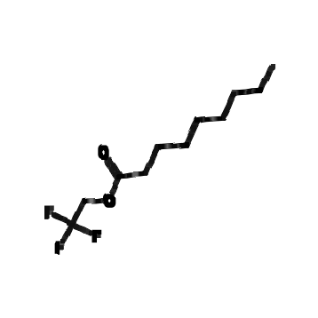 CCCCCCCCC(=O)OCC(F)(F)F